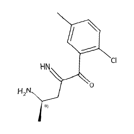 Cc1ccc(Cl)c(C(=O)C(=N)C[C@@H](C)N)c1